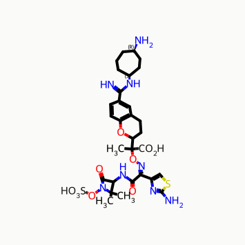 CC(ON=C(C(=O)NC1C(=O)N(OS(=O)(=O)O)C1(C)C)c1csc(N)n1)(C(=O)O)C1CCc2cc(C(=N)N[C@H]3CCC[C@@H](N)CC3)ccc2O1